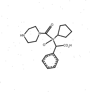 O=C(O)C(c1ccccc1)[N+]([O-])(C(=O)N1CCNCC1)C1CCCC1